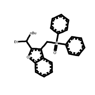 CCCCC(CC)c1oc2ccccc2c1CP(=O)(c1ccccc1)c1ccccc1